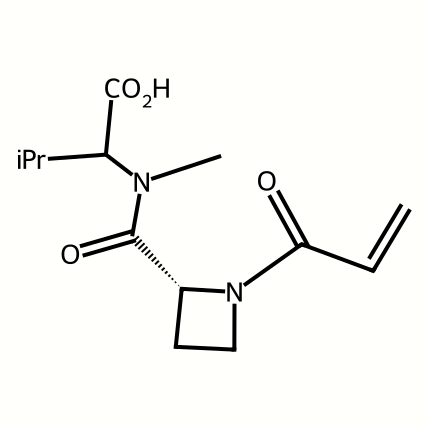 C=CC(=O)N1CC[C@@H]1C(=O)N(C)C(C(=O)O)C(C)C